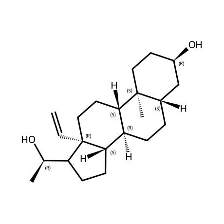 C=C[C@]12CC[C@H]3[C@@H](CC[C@H]4C[C@H](O)CC[C@@]43C)[C@@H]1CCC2[C@@H](C)O